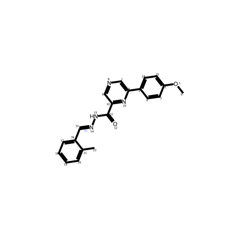 COc1ccc(-c2cncc(C(=O)N/N=C/c3ccccc3C)n2)cc1